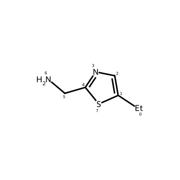 CCc1cnc(CN)s1